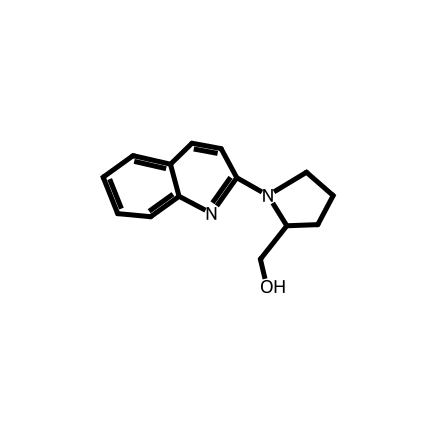 OCC1CCCN1c1ccc2ccccc2n1